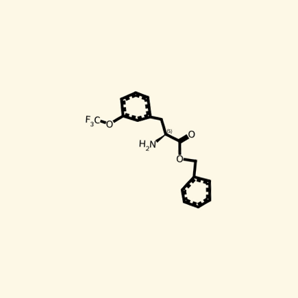 N[C@@H](Cc1cccc(OC(F)(F)F)c1)C(=O)OCc1ccccc1